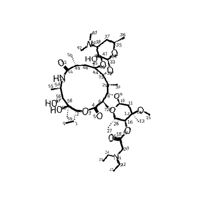 CC[C@H]1OC(=O)[C@H](C)[C@@H](O[C@H]2C[C@@](C)(OC)[C@@H](OC(=O)CN(CC)CC)[C@H](C)O2)[C@H](C)[C@@H](O[C@@H]2O[C@H](C)C[C@H](N(C)C)[C@H]2O)[C@](C)(OC)C[C@@H](C)C(=O)N[C@H](C)[C@@H](O)[C@]1(C)O